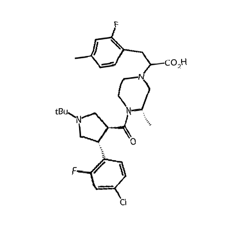 Cc1ccc(CC(C(=O)O)N2CCN(C(=O)[C@@H]3CN(C(C)(C)C)C[C@H]3c3ccc(Cl)cc3F)[C@@H](C)C2)c(F)c1